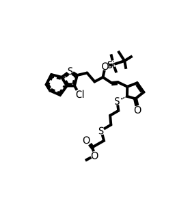 COC(=O)CSCCCS[C@H]1C(=O)C=CC1/C=C/C(CCc1sc2ccccc2c1Cl)O[Si](C)(C)C(C)(C)C